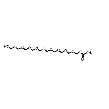 CC(=O)OCOCOCOCOCOCOCOCOCOCO